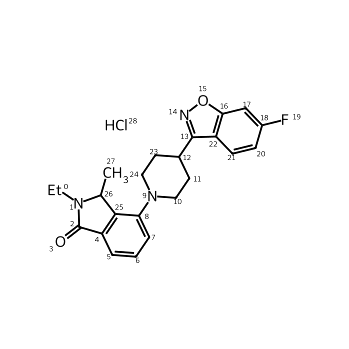 CCN1C(=O)c2cccc(N3CCC(c4noc5cc(F)ccc45)CC3)c2C1C.Cl